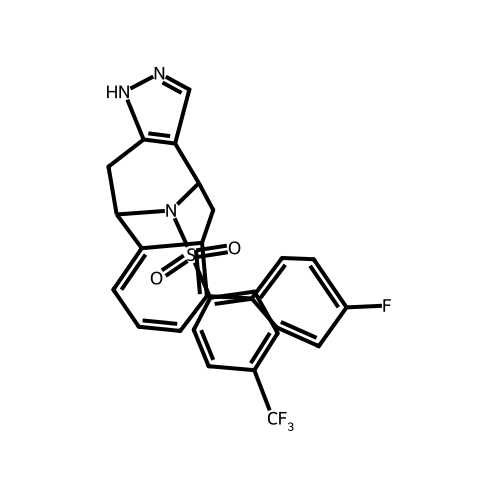 O=S(=O)(c1ccc(C(F)(F)F)cc1)N1C2Cc3c(-c4ccc(F)cc4)cccc3C1Cc1[nH]ncc12